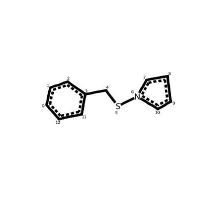 c1ccc(CSn2cccc2)cc1